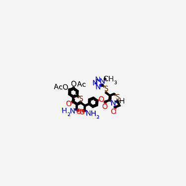 CC(=O)Oc1cc2sc(C(C(N)=O)c3ccc(OC(=O)C4=C(CSc5nnnn5C)CS[C@H]5CC(=O)N45)cc3)c(C(N)=O)c(=O)c2cc1OC(C)=O